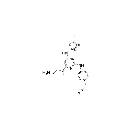 Cc1cc(Nc2cc(NCCN)nc(Nc3ccc(CC#N)cc3)n2)n[nH]1